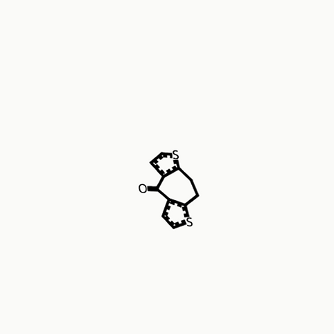 O=C1c2ccsc2CCc2sccc21